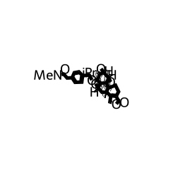 CNC(=O)Cc1ccc(CO[C@@H]2[C@@]3(C(C)C)O[C@H]3[C@@H]3O[C@]34[C@]23O[C@H]3C[C@@]2(C)C3=C(CC[C@]42C)C(=O)OC3)cc1